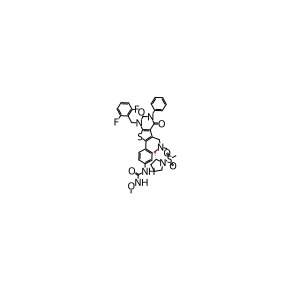 CONC(=O)Nc1ccc(-c2sc3c(c2CN(C)C[C@H]2CCCN2S(C)(=O)=O)c(=O)n(-c2ccccc2)c(=O)n3Cc2c(F)cccc2F)cc1